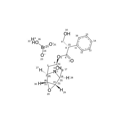 CN1[C@@H]2C[C@@H](OC(=O)[C@H](CO)c3ccccc3)C[C@H]1[C@@H]1O[C@@H]12.[H+].[O-][Br+2]([O-])O